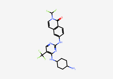 NC1CCC(Nc2nc(Nc3ccc4c(=O)n(C(F)F)ccc4c3)ncc2C(F)(F)F)CC1